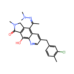 C/C(=N/N(C)C)c1c2c(c(O)c3ncc(Cc4ccc(C)c(Cl)c4)cc13)C(=O)N(C)C2